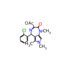 CC(=O)OC1=NC(c2ccccc2Cl)c2c(cn(C)c2C)N(C)C1=O